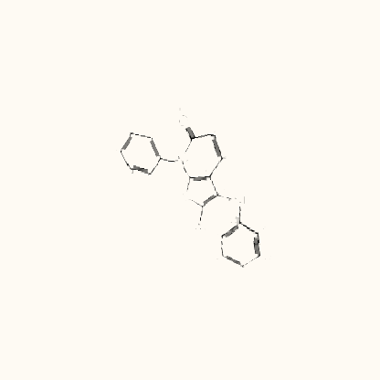 CC(=O)c1sc2c(ccc(=O)n2-c2ccccc2)c1Nc1ccccc1